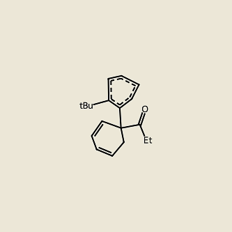 CCC(=O)C1(c2ccccc2C(C)(C)C)C=CC=CC1